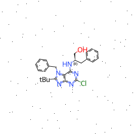 CC(C)(C)c1nc2nc(Cl)nc(N[C@@H](CO)Cc3ccccc3)c2n1Cc1ccccc1